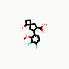 COc1c(C2CC3(CCC3=O)CC2C(=O)O)ccc(F)c1F